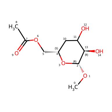 CO[C@@H]1O[C@H](COC(C)=O)CC(O)[C@H]1O